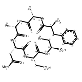 COC(=O)C[C@H](NC(=O)[C@@H](NC(=O)[C@@H](NC(=O)[C@@H](N)Cc1ccccc1)C(C)C)C(C)C)C(=O)N[C@@H](CC(=O)O)C(=O)N[C@@H](CC(C)C)C(=O)O